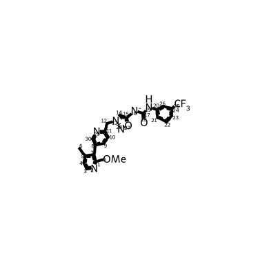 COc1nccc(C)c1-c1ccc(C[n+]2cc([N-]C(=O)Nc3cccc(C(F)(F)F)c3)on2)nc1